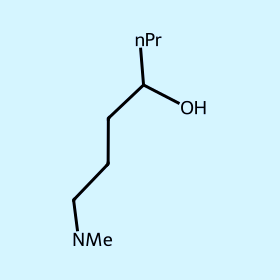 CCCC(O)CCCNC